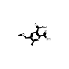 COCc1cc(C(=O)O)c(C(=O)O)nc1C